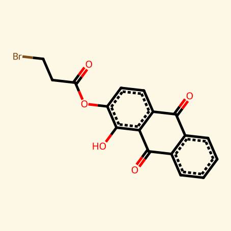 O=C(CCBr)Oc1ccc2c(c1O)C(=O)c1ccccc1C2=O